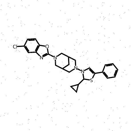 Clc1ccc2oc(N3CC4CC(C3)CN(N3[C]=C(c5ccccc5)SC3C3CC3)C4)nc2c1